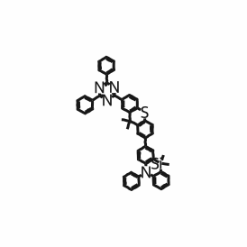 CC1(C)c2cc(-c3ccc4c(c3)[Si](C)(C)c3ccccc3N4c3ccccc3)ccc2Sc2ccc(-c3nc(-c4ccccc4)nc(-c4ccccc4)n3)cc21